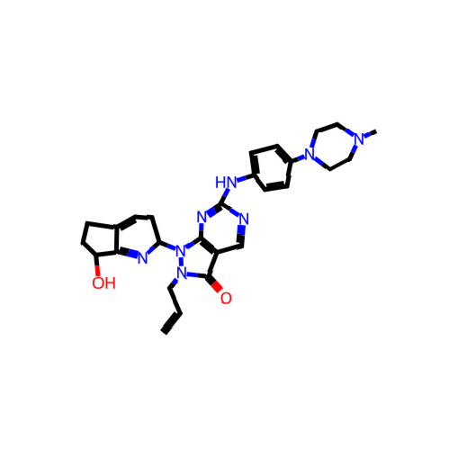 C=CCn1c(=O)c2cnc(Nc3ccc(N4CCN(C)CC4)cc3)nc2n1C1CC=C2CCC(O)C2=N1